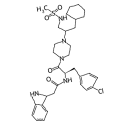 CS(=O)(=O)NCC(CC1CCCCC1)N1CCN(C(=O)[C@@H](Cc2ccc(Cl)cc2)NC(=O)CC2NCc3ccccc32)CC1